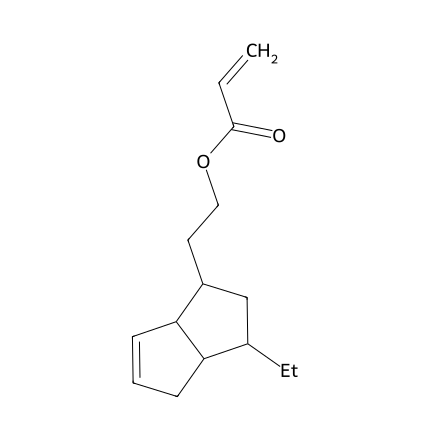 C=CC(=O)OCCC1CC(CC)C2CC=CC12